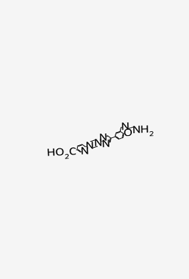 CN(Cc1cccc(-c2cnc(N3CCN(c4ccc(C(=O)O)cn4)CC3)nc2)c1)C(=O)CN